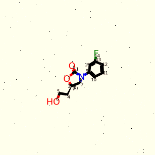 O=C1O[C@H](CCO)CN1c1cccc(F)c1